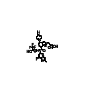 Cc1cn2cc(NC(=O)c3ccc(N4CCNCC4)c4cn(CC(O)CO)nc34)cc(F)c2n1.O=C(O)C(F)(F)F